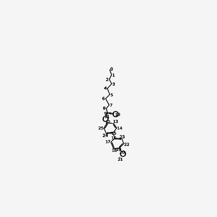 CCCCCCCCCC(=O)Oc1ccc(-c2ccc(OC)cc2)cc1